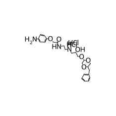 Cl.Cl.Nc1ccc(OCC(=O)NCCNCC(O)COC2COC(Cc3ccccc3)CO2)cc1